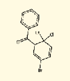 CCC1(Cl)C=CC(Br)=CC1C(=O)c1ccccc1